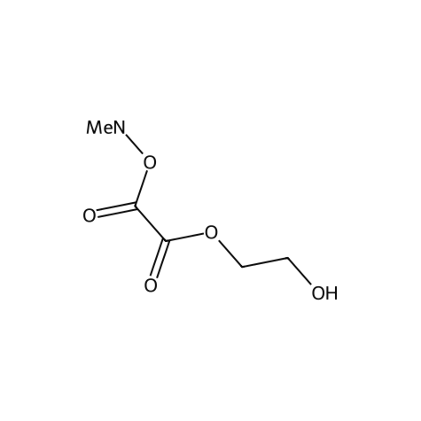 CNOC(=O)C(=O)OCCO